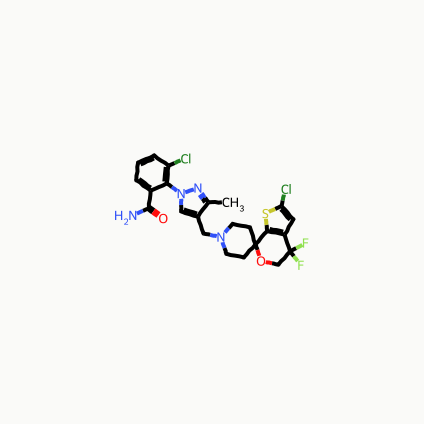 Cc1nn(-c2c(Cl)cccc2C(N)=O)cc1CN1CCC2(CC1)OCC(F)(F)c1cc(Cl)sc12